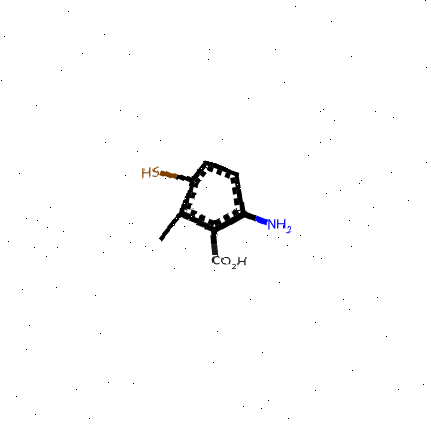 Cc1c(S)ccc(N)c1C(=O)O